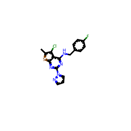 Cc1sc2nc(-n3cccn3)nc(NCc3ccc(F)cc3)c2c1Cl